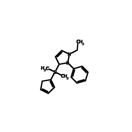 CCN1C=CC([Si](C)(C)C2=CC=CC2)B1c1ccccc1